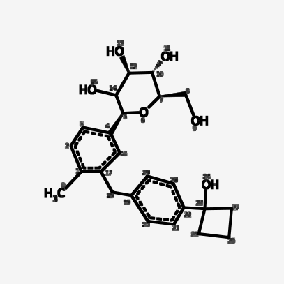 Cc1ccc([C@@H]2O[C@H](CO)[C@@H](O)[C@H](O)C2O)cc1Cc1ccc(C2(O)CCC2)cc1